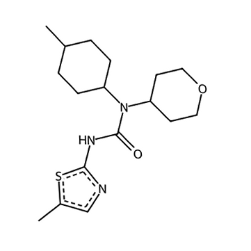 Cc1cnc(NC(=O)N(C2CCOCC2)C2CCC(C)CC2)s1